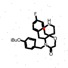 CC(C)COc1ccc(CN2C(=O)COC3(CCNCC3)C2Cc2ccc(F)cc2)cc1